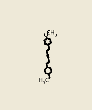 CCC1CCC(C=CC#CC=Cc2ccc(OC)cc2)CC1